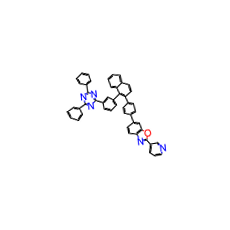 c1ccc(-c2nc(-c3ccccc3)nc(-c3cccc(-c4c(-c5ccc(-c6ccc7nc(-c8cccnc8)oc7c6)cc5)ccc5ccccc45)c3)n2)cc1